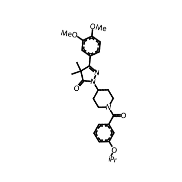 COc1ccc(C2=NN(C3CCN(C(=O)c4cccc(OC(C)C)c4)CC3)C(=O)C2(C)C)cc1OC